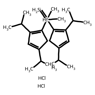 CC(C)C1=CC(C(C)C)=[C]([Hf]([CH3])([CH3])(=[SiH2])[C]2=C(C(C)C)C=C(C(C)C)C2)C1.Cl.Cl